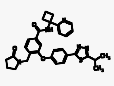 CC(C)c1nnc(-c2ccc(Oc3cc(C(=O)NC4(c5ccccn5)CCC4)ccc3CN3CCCC3=O)cc2)s1